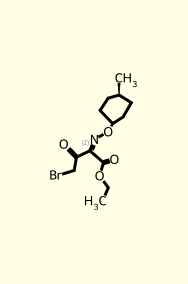 CCOC(=O)/C(=N\O[C@H]1CC[C@@H](C)CC1)C(=O)CBr